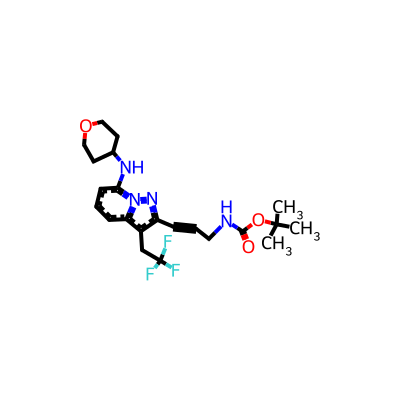 CC(C)(C)OC(=O)NCC#Cc1nn2c(NC3CCOCC3)cccc2c1CC(F)(F)F